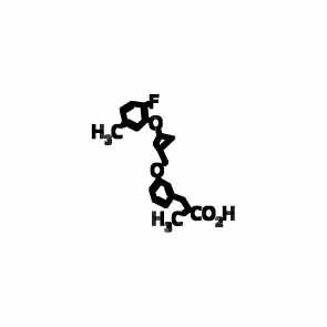 Cc1ccc(F)c(OC2CC(COc3cccc(CC(C)C(=O)O)c3)C2)c1